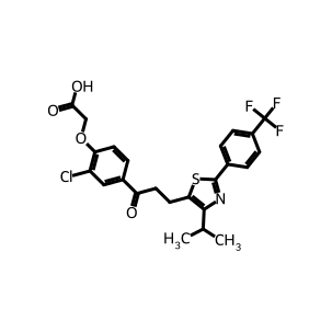 CC(C)c1nc(-c2ccc(C(F)(F)F)cc2)sc1CCC(=O)c1ccc(OCC(=O)O)c(Cl)c1